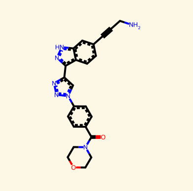 NCC#Cc1ccc2c(-c3cn(-c4ccc(C(=O)N5CCOCC5)cc4)nn3)n[nH]c2c1